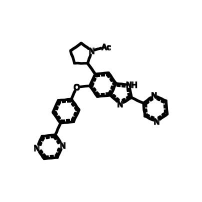 CC(=O)N1CCCC1c1cc2[nH]c(-c3cnccn3)nc2cc1Oc1ccc(-c2cnccn2)cc1